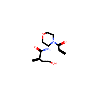 C=C(CCO)C(N)=O.C=CC(=O)N1CCOCC1